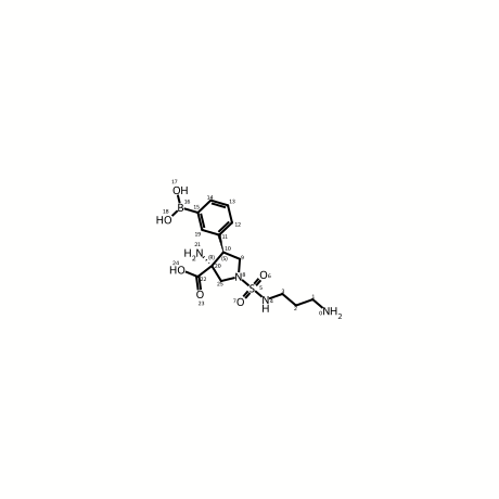 NCCCNS(=O)(=O)N1C[C@H](c2cccc(B(O)O)c2)[C@](N)(C(=O)O)C1